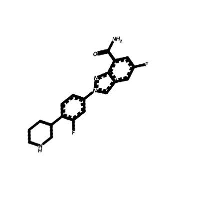 NC(=O)c1cc(F)cc2cn(-c3ccc(C4CCCNC4)c(F)c3)nc12